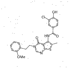 COc1ccccc1CCn1cnc2sc(C)c(NC(=O)c3ccc(O)c(Cl)c3)c2c1=O